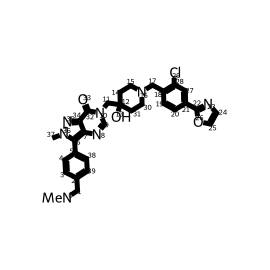 CNCc1ccc(-c2c3ncn(CC4(O)CCN(Cc5ccc(-c6ncco6)cc5Cl)CC4)c(=O)c3nn2C)cc1